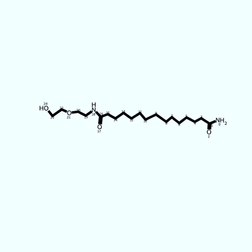 NC(=O)CCCCCCCCCCCCCC(=O)NCCOCCO